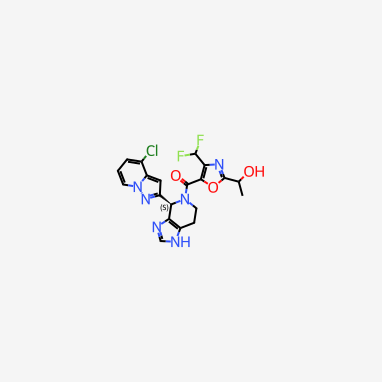 CC(O)c1nc(C(F)F)c(C(=O)N2CCc3[nH]cnc3[C@H]2c2cc3c(Cl)cccn3n2)o1